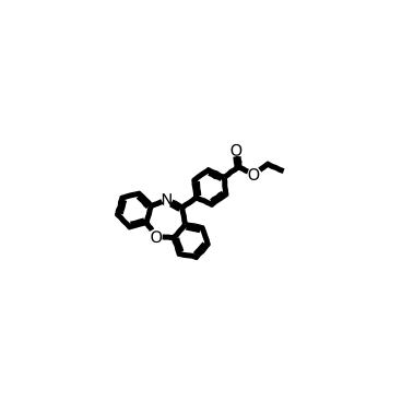 CCOC(=O)c1ccc(C2=Nc3ccccc3Oc3ccccc32)cc1